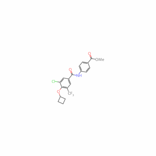 COC(=O)c1ccc(NC(=O)c2cc(Cl)c(OC3CCC3)c(C(F)(F)F)c2)cc1